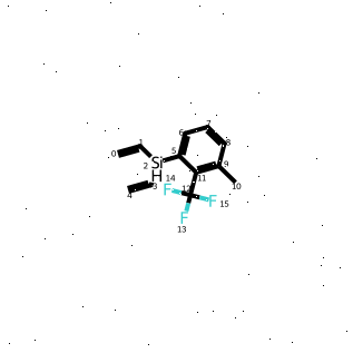 C=C[SiH](C=C)c1cccc(C)c1C(F)(F)F